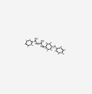 O=C(NC(=O)c1ccccc1)Nc1ccc(Oc2ccccc2)cc1